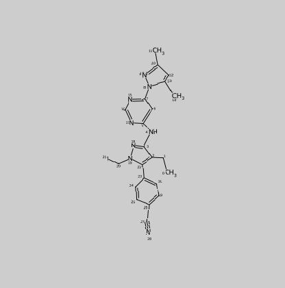 CCc1c(Nc2cc(-n3nc(C)cc3C)ncn2)nn(CI)c1-c1ccc(C#N)cc1